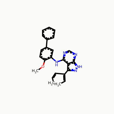 C/C=C\C(=C/C)c1n[nH]c2ncnc(Nc3cc(-c4ccccc4)ccc3OC)c12